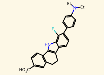 CCN(CC)c1ccc(-c2ccc3c4c([nH]c3c2F)-c2ccc(C(=O)O)cc2CC4)cc1